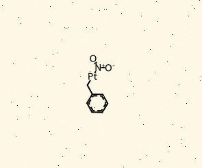 O=[N+]([O-])[Pt][CH2]c1ccccc1